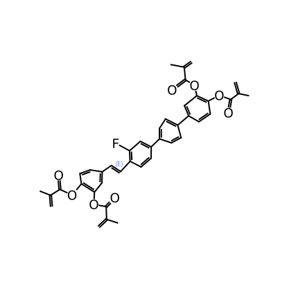 C=C(C)C(=O)Oc1ccc(/C=C/c2ccc(-c3ccc(-c4ccc(OC(=O)C(=C)C)c(OC(=O)C(=C)C)c4)cc3)cc2F)cc1OC(=O)C(=C)C